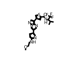 COCCNc1ccc(-c2cnc3c(-c4csc(C(=O)N[C@H](C(C)C)C(F)(F)F)c4)cnn3c2)cn1